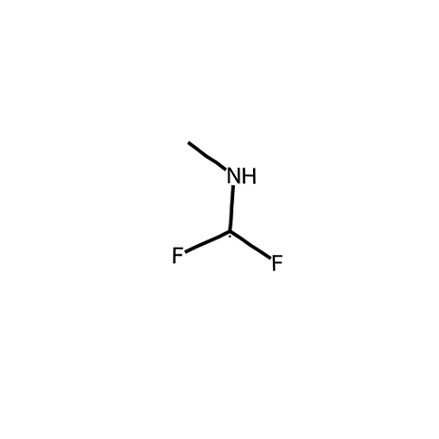 CN[C](F)F